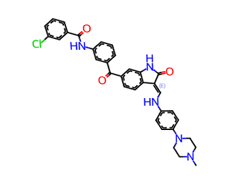 CN1CCN(c2ccc(N/C=C3/C(=O)Nc4cc(C(=O)c5cccc(NC(=O)c6cccc(Cl)c6)c5)ccc43)cc2)CC1